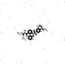 CC(C)NC(=O)c1cccc(N(Cc2ccccc2)S(=O)(=O)c2ccc3c(c2)OCCN3C)c1